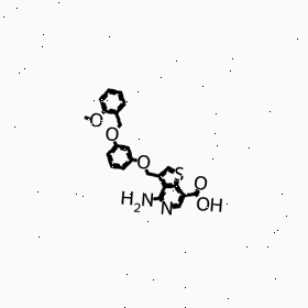 COc1ccccc1COc1cccc(OCc2csc3c(C(=O)O)cnc(N)c23)c1